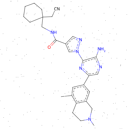 Cc1cc(-c2cnc(N)c(-n3cc(C(=O)NCC4(CC#N)CCCCC4)cn3)n2)cc2c1CCN(C)C2